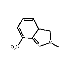 CN1CC2C=CC=C([N+](=O)[O-])C2=N1